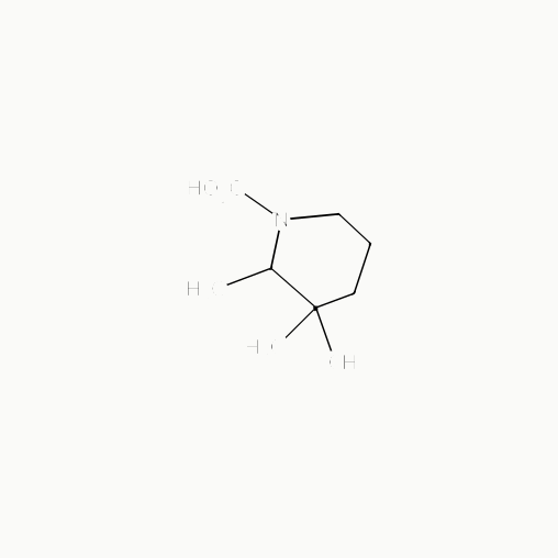 CC1N(C(=O)O)CCCC1(C)C